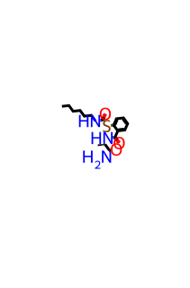 CCCCCCNC(=O)Sc1ccccc1C(=O)N[C@H](C)C(N)=O